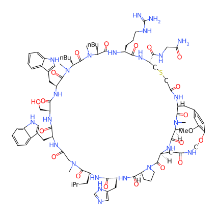 CCCC[C@H]1C(=O)N(C)[C@@H](CCCC)C(=O)N[C@@H](CCCNC(=N)N)C(=O)N[C@H](C(=O)NCC(N)=O)CSCC(=O)N[C@H]2Cc3ccc(c(OC)c3)OCNC(=O)C[C@H](NC(=O)[C@H](C)N(C)C2=O)C(=O)N2CCC[C@H]2C(=O)N[C@@H](Cc2cnc[nH]2)C(=O)N[C@@H](CC(C)C)C(=O)N(C)CC(=O)N[C@@H](Cc2c[nH]c3ccccc23)C(=O)N[C@@H](CO)C(=O)N[C@@H](Cc2c[nH]c3ccccc23)C(=O)N1C